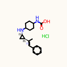 C/C(=C\c1ccccc1)[C@H]1C[C@@H]1NC1CCC(NC(=O)O)CC1.Cl